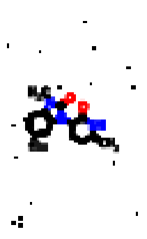 C=C1CCC(n2c(=O)n(C)c3ccc(C(C)(C)C)cc32)C(=O)N1